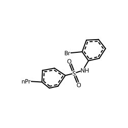 CCCc1ccc(S(=O)(=O)Nc2ccccc2Br)cc1